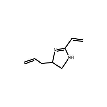 C=CCC1CNC(C=C)=N1